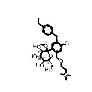 CCc1ccc(Cc2cc(C3(OC)O[C@H](CO)[C@@H](O)[C@H](O)[C@H]3O)c(COCC[Si](C)(C)C)cc2Cl)cc1